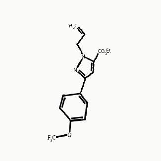 C=CCn1nc(-c2ccc(OC(F)(F)F)cc2)cc1C(=O)OCC